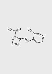 O=C(O)c1ccnn1C=Cc1ccccc1O